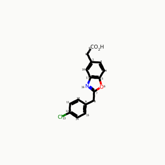 O=C(O)Cc1ccc2oc(Cc3ccc(Cl)cc3)nc2c1